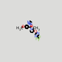 COc1ccc(C(=O)N2CCC[C@@H](Oc3cnc(C(F)(F)F)cn3)[C@@H]2C)c(-n2nccn2)c1